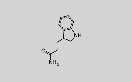 NC(=O)CCC1CNc2ccccc21